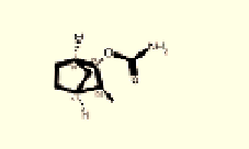 C[C@H]1[C@H]2CC[C@H](C2)[C@@H]1OC(N)=O